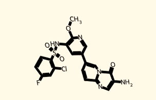 COc1ncc(-c2ccc3ncc(N)c(=O)n3c2)cc1NS(=O)(=O)c1ccc(F)cc1Cl